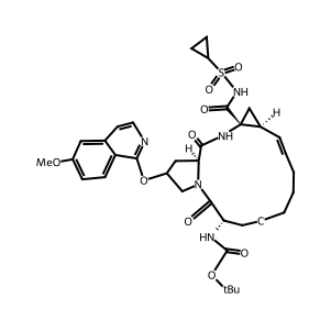 COc1ccc2c(OC3C[C@H]4C(=O)N[C@]5(C(=O)NS(=O)(=O)C6CC6)C[C@H]5/C=C\CCCCC[C@H](NC(=O)OC(C)(C)C)C(=O)N4C3)nccc2c1